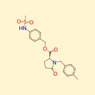 Cc1ccc(CN2C(=O)CC[C@H]2C(=O)OCc2ccc(NS(C)(=O)=O)cc2)cc1